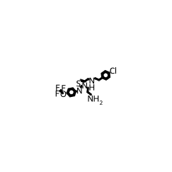 NCCCn1c(CNCCc2ccc(Cl)cc2)csc1=Nc1ccc(OC(F)(F)F)cc1